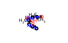 C[C@@H]1CN(c2ccc(NC3=CC(CO)(c4ccnc(N5CCc6c(cc7n6CCCC7)C5=O)c4)CN(C)C3=O)nc2)[C@@H](C)CN1C1COC1